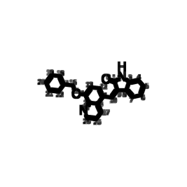 O=C1Nc2ccccc2C1=Cc1ccc(OCc2ccccc2)c2ncccc12